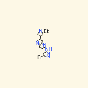 CCc1cc(-c2cnc3ccc(Nc4cc(C(C)C)cnn4)nc3c2)ccn1